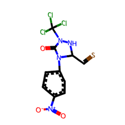 O=C1N(c2ccc([N+](=O)[O-])cc2)C(C=S)NN1C(Cl)(Cl)Cl